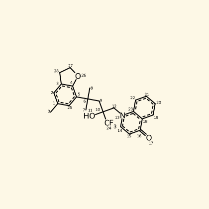 Cc1cc2c(c(C(C)(C)CC(O)(Cn3ccc(=O)c4ccccc43)C(F)(F)F)c1)OCC2